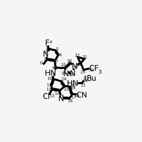 Cc1nc(F)ccc1C(Nc1cc(Cl)c2ncc(C#N)c(NCC(C)(C)C)c2c1)c1cn(C2(CC(F)(F)F)CC2)nn1